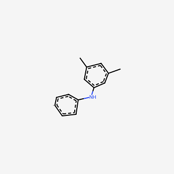 Cc1cc(C)cc(Nc2cc[c]cc2)c1